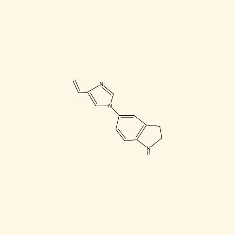 C=Cc1cn(-c2ccc3c(c2)CCN3)cn1